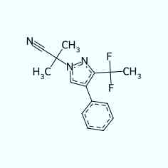 CC(F)(F)c1nn(C(C)(C)C#N)cc1-c1ccccc1